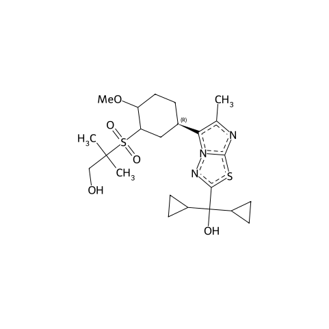 COC1CC[C@@H](c2c(C)nc3sc(C(O)(C4CC4)C4CC4)nn23)CC1S(=O)(=O)C(C)(C)CO